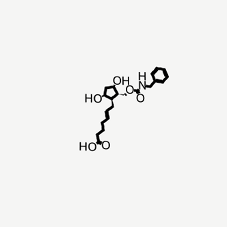 O=C(O)CCCC=CC[C@@H]1[C@@H](COC(=O)NCc2ccccc2)[C@H](O)C[C@@H]1O